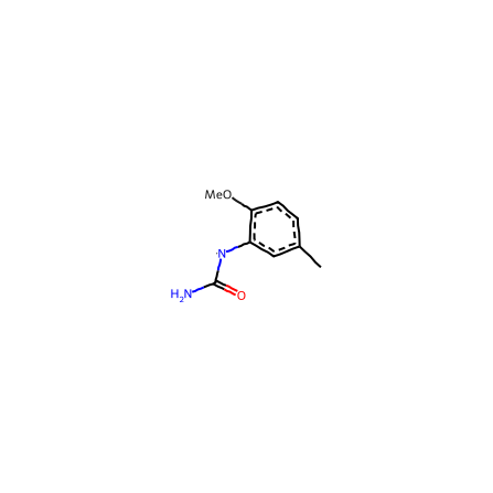 COc1ccc(C)cc1[N]C(N)=O